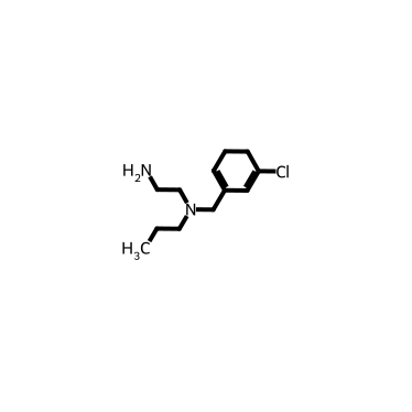 CCCN(CCN)CC1=CCCC(Cl)=C1